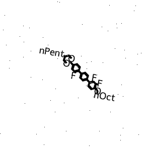 CCCCCCCCOc1ccc(-c2ccc(-c3ccc(C4OCC(CCCCC)CO4)cc3F)cc2)c(F)c1F